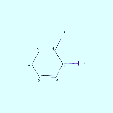 IC1C=CCCC1I